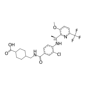 COc1ccc(C(F)(F)F)nc1[C@H](C)Nc1ccc(C(=O)NCC2CCC(C(=O)O)CC2)cc1Cl